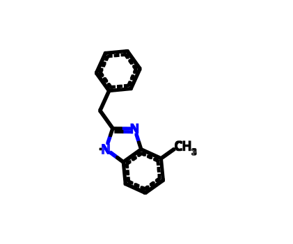 Cc1cccc2c1N=C(Cc1ccccc1)[N]2